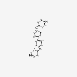 c1cc(-c2ccc(OC3CCNCC3)cc2)ccc1OC1CCNCC1